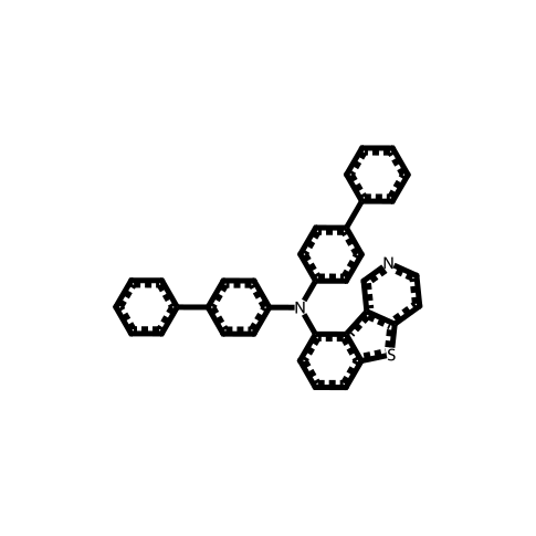 c1ccc(-c2ccc(N(c3ccc(-c4ccccc4)cc3)c3cccc4sc5ccncc5c34)cc2)cc1